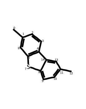 Cc1ccc2c(c1)sc1ccc(C)cc12